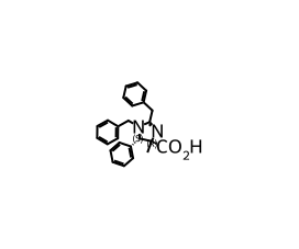 C[C@@]1(C(=O)O)N=C(Cc2ccccc2)N(Cc2ccccc2)[C@H]1c1ccccc1